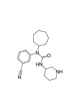 N#Cc1cccc(N(C(=O)NC2CCCNC2)C2CCCCCC2)c1